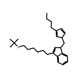 CCCCC1=CC(CC2C=C(CCCCCCOC(C)(C)C)c3ccccc32)C=C1